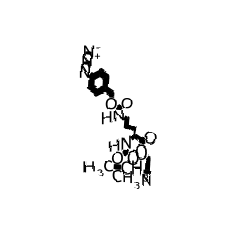 CC(C)(C)OC(=O)N[C@@H](CCCNC(=O)OCc1ccc(N=[N+]=[N-])cc1)C(=O)OCC#N